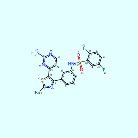 CC(C)(C)c1nc(-c2cccc(NS(=O)(=O)c3cc(F)ccc3F)c2)c(-c2ccnc(N)n2)s1